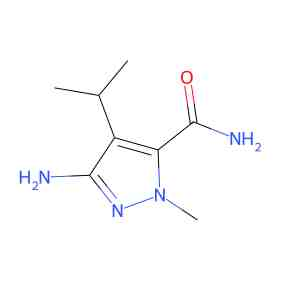 CC(C)c1c(N)nn(C)c1C(N)=O